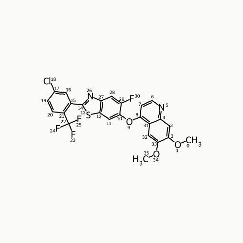 COc1cc2nccc(Oc3cc4sc(-c5cc(Cl)ccc5C(F)(F)F)nc4cc3F)c2cc1OC